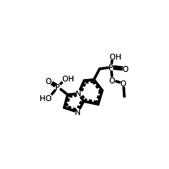 COOP(=O)(O)Cc1ccc2ncc(P(=O)(O)O)n2c1